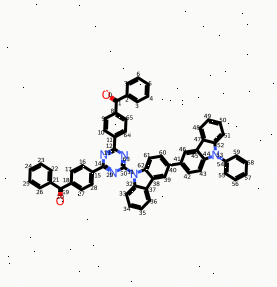 O=C(c1ccccc1)c1ccc(-c2nc(-c3ccc(C(=O)c4ccccc4)cc3)nc(-n3c4ccccc4c4cc(-c5ccc6c(c5)c5ccccc5n6-c5ccccc5)ccc43)n2)cc1